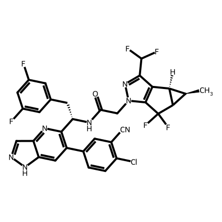 C[C@H]1C2[C@H]1c1c(C(F)F)nn(CC(=O)N[C@@H](Cc3cc(F)cc(F)c3)c3nc4cn[nH]c4cc3-c3ccc(Cl)c(C#N)c3)c1C2(F)F